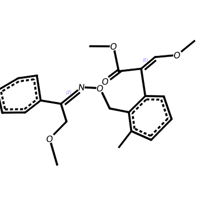 CO/C=C(/C(=O)OC)c1cccc(C)c1CO/N=C(\COC)c1ccccc1